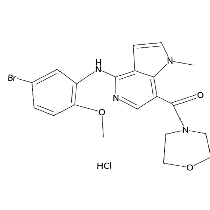 COc1ccc(Br)cc1Nc1ncc(C(=O)N2CCOCC2)c2c1ccn2C.Cl